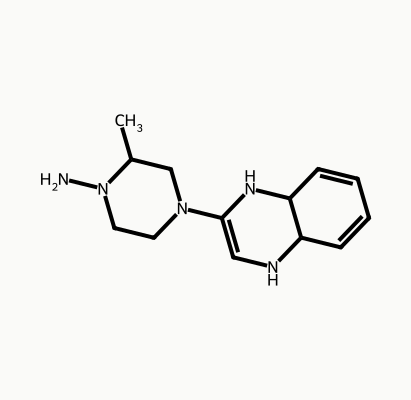 CC1CN(C2=CNC3C=CC=CC3N2)CCN1N